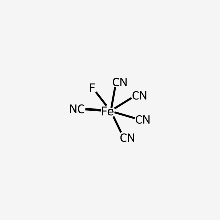 N#[C][Fe]([F])([C]#N)([C]#N)([C]#N)[C]#N